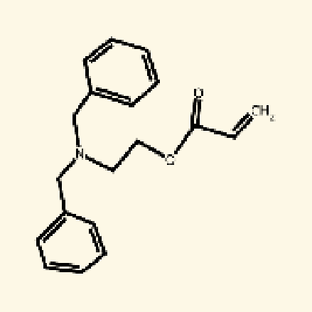 C=CC(=O)OCCN(Cc1ccccc1)Cc1ccccc1